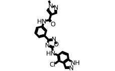 Cn1cc(C(=O)Nc2cccc(-c3noc(Nc4ccc5[nH]ncc5c4Cl)n3)c2)cn1